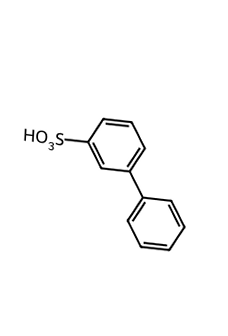 O=S(=O)(O)c1cccc(-c2ccccc2)c1